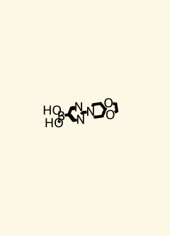 OB(O)c1cnc(N2CCC3(CC2)OCCO3)nc1